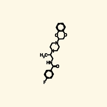 CC(CNC(=O)c1ccc(F)cc1)N1CCN(C2COc3ccccc3O2)CC1